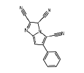 N#CC1=Nc2cc(-c3ccccc3)c(C#N)n2C1C#N